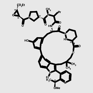 CCOC(=O)[C@H]1O[C@@H]1C(=O)N1CC[C@H](C(=O)N(C)C(C(=O)N[C@H]2Cc3cc(O)cc(c3)-c3ccc4c(c3)c(c(-c3cccnc3[C@H](C)OC)n4CC)CC(C)(C)COC(=O)[C@@H]3CCCN(N3)C2=O)C(C)C)C1